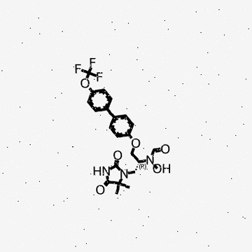 CC1(C)C(=O)NC(=O)N1C[C@H](COc1ccc(-c2ccc(OC(F)(F)F)cc2)cc1)N(O)C=O